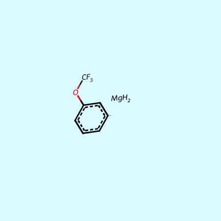 FC(F)(F)Oc1c[c]ccc1.[MgH2]